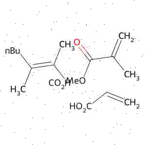 C=C(C)C(=O)OC.C=CC(=O)O.CCCCC(C)=C(C)C(=O)O